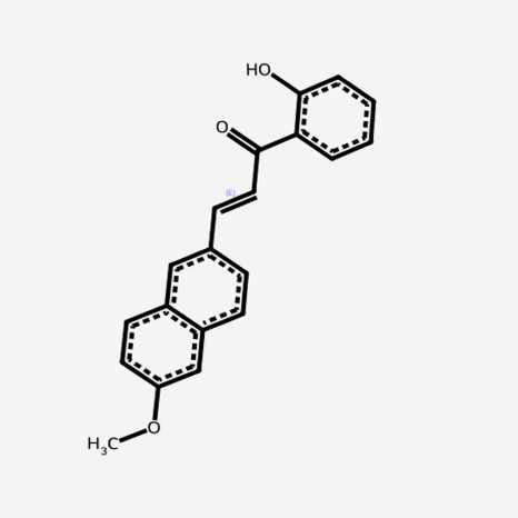 COc1ccc2cc(/C=C/C(=O)c3ccccc3O)ccc2c1